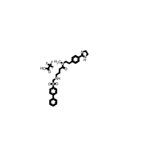 CN(CCc1ccc(C2=NCCN2)cc1)C(=O)CCCNCS(=O)(=O)c1ccc(-c2ccccc2)cc1.O=C(O)C(F)(F)F